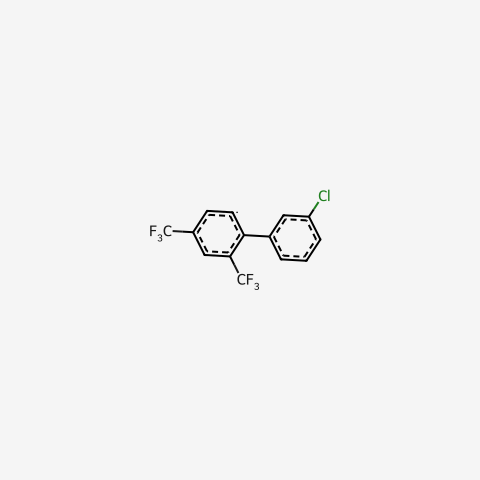 FC(F)(F)c1c[c]c(-c2cccc(Cl)c2)c(C(F)(F)F)c1